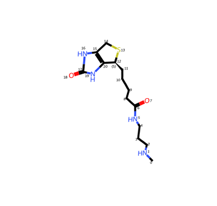 CNCCCNC(=O)CCCC[C@@H]1SCc2[nH]c(=O)[nH]c21